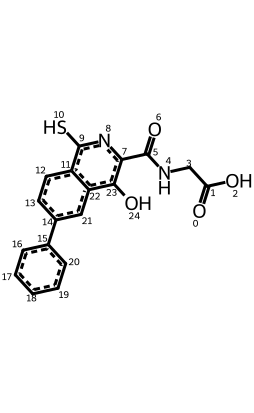 O=C(O)CNC(=O)c1nc(S)c2ccc(-c3ccccc3)cc2c1O